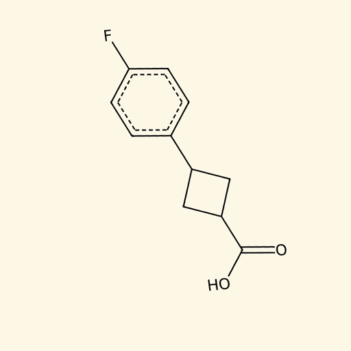 O=C(O)C1CC(c2ccc(F)cc2)C1